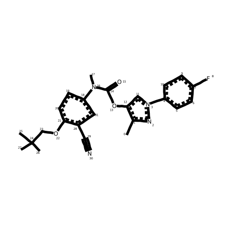 Cc1nn(-c2ccc(F)cc2)cc1OC(=O)N(C)c1ccc(OCC(C)(C)C)c(C#N)c1